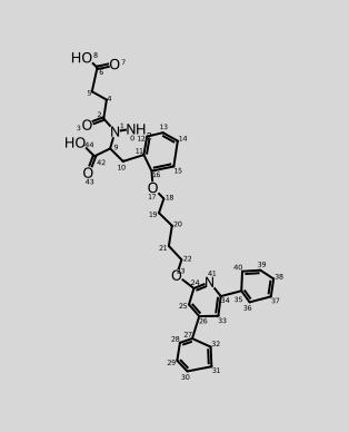 NN(C(=O)CCC(=O)O)C(Cc1ccccc1OCCCCCOc1cc(-c2ccccc2)cc(-c2ccccc2)n1)C(=O)O